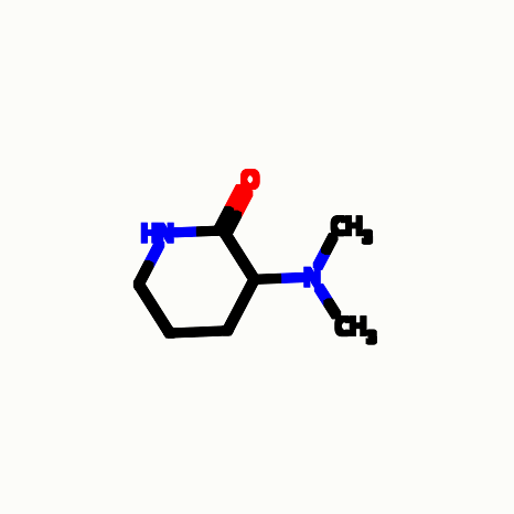 CN(C)C1CCCNC1=O